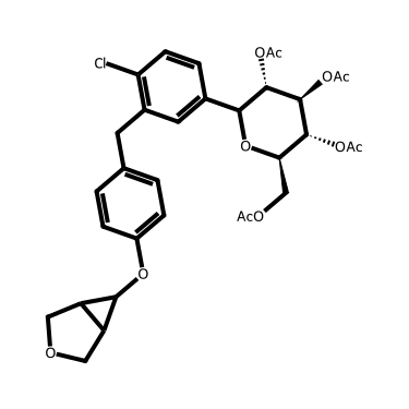 CC(=O)OC[C@H]1OC(c2ccc(Cl)c(Cc3ccc(OC4C5COCC54)cc3)c2)[C@H](OC(C)=O)[C@@H](OC(C)=O)[C@@H]1OC(C)=O